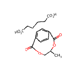 CC1COC(=O)c2ccc(cc2)C(=O)O1.O=C(O)CCCCC(=O)O